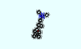 c1ccc(-c2nc(-c3ccccc3)nc(-c3ccc(-c4ccc(-c5ccc6c7c(ccc6c5)-c5ccccc5C7(c5ccccc5)c5ccccc5)c5ccccc45)cc3)n2)cc1